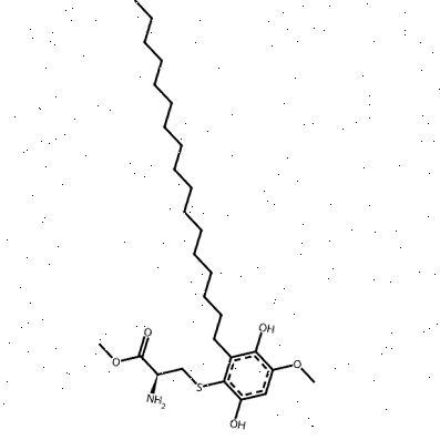 CCCCCCCCCCCCCCCCCc1c(O)c(OC)cc(O)c1SC[C@@H](N)C(=O)OC